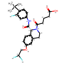 C[Si](C)(C)c1ccc(NC(=O)[C@H]2c3ccc(OCC(F)F)cc3CCN2C(=O)CCCC(=O)O)cc1F